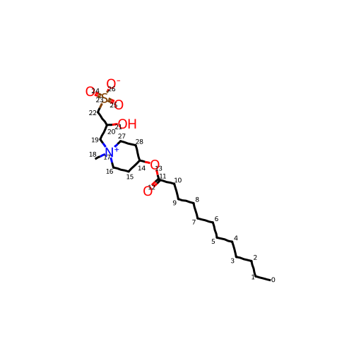 CCCCCCCCCCCC(=O)OC1CC[N+](C)(CC(O)CS(=O)(=O)[O-])CC1